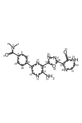 CN(C)C(=O)c1ccc(-c2cnc(N)c(-c3nnc(-c4ncc[nH]c4=O)o3)n2)cc1